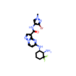 Cn1cc(NC(=O)c2cnn3ccc(N[C@@H]4CCCC(F)(F)[C@@H]4N)nc23)c(Br)n1